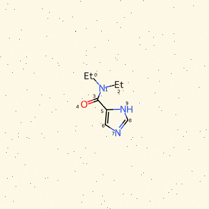 CCN(CC)C(=O)c1cnc[nH]1